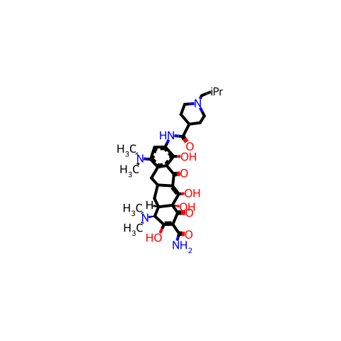 CC(C)CN1CCC(C(=O)Nc2cc(N(C)C)c3c(c2O)C(=O)C2=C(O)[C@]4(O)C(=O)C(C(N)=O)=C(O)[C@@H](N(C)C)[C@@H]4CC2C3)CC1